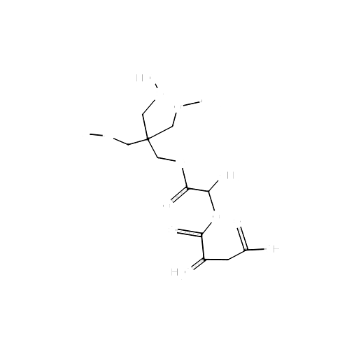 C=C(CC(C)=O)C(=O)OC(C)C(=O)OCC(COC)(COC)COC